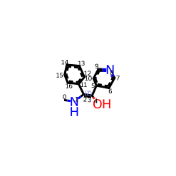 CN/C(=C(\O)c1ccncc1)c1ccccc1